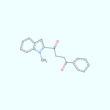 Cn1c(C(=O)CCC(=O)c2ccccc2)cc2ccccc21